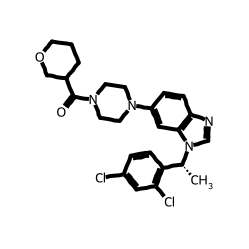 C[C@H](c1ccc(Cl)cc1Cl)n1cnc2ccc(N3CCN(C(=O)C4CCCOC4)CC3)cc21